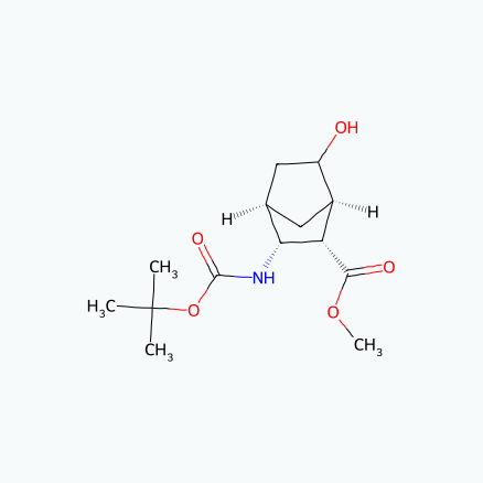 COC(=O)[C@@H]1[C@H](NC(=O)OC(C)(C)C)[C@H]2CC(O)[C@@H]1C2